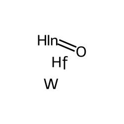 [Hf].[O]=[InH].[W]